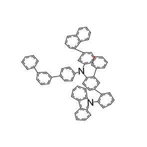 c1ccc(-c2cccc(-c3ccc(N(c4cccc(-c5cccc6ccccc56)c4)c4ccc(-c5ccccc5-n5c6ccccc6c6ccccc65)cc4-c4ccccc4)cc3)c2)cc1